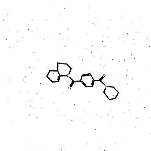 O=C(c1ccc(C(=O)N2CCCC3CCCC=C32)cc1)N1CCCCC1